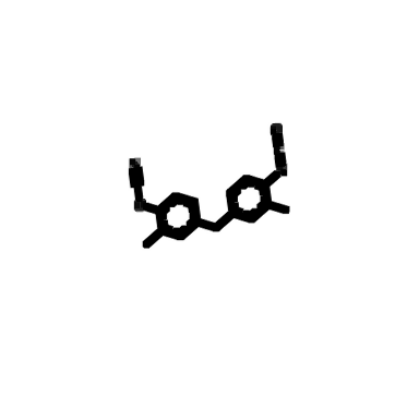 Cc1cc(Cc2ccc(OC#N)c(C)c2)ccc1N=C=O